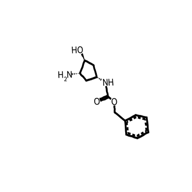 N[C@H]1C[C@@H](NC(=O)OCc2ccccc2)C[C@@H]1O